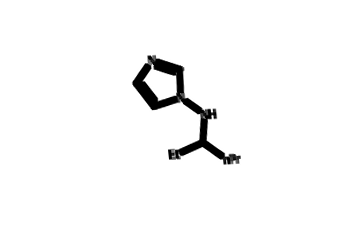 CCCC(CC)Nn1[c]ncc1